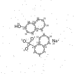 O=S(=O)([O-])c1cccc2ccccc12.Oc1ccc2ccccc2c1.[Na+]